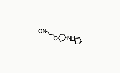 O=NCCCO[C@H]1CC[C@H](NCc2ccccc2)CC1